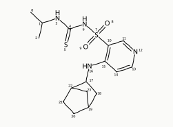 CC(C)NC(=S)NS(=O)(=O)c1cnccc1NC1CC2CCC1C2